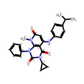 CC(C)c1ccc(Nc2cc(=O)n(C)c3c2c(=O)n(C2CC2)c(=O)n3-c2ccccc2)cc1